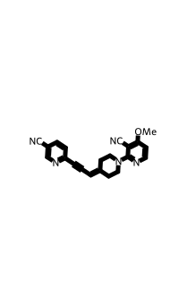 COc1ccnc(N2CCC(=CC#Cc3ccc(C#N)cn3)CC2)c1C#N